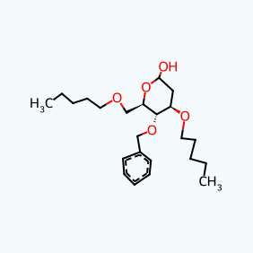 CCCCCOC[C@H]1OC(O)C[C@@H](OCCCCC)[C@@H]1OCc1ccccc1